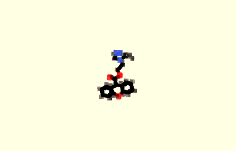 CN(C=N)CCOC(=O)C1c2ccccc2Oc2ccccc21